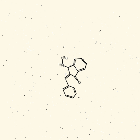 CCCCNC1/C(=C/c2ccccc2)C(=O)c2ccccc21